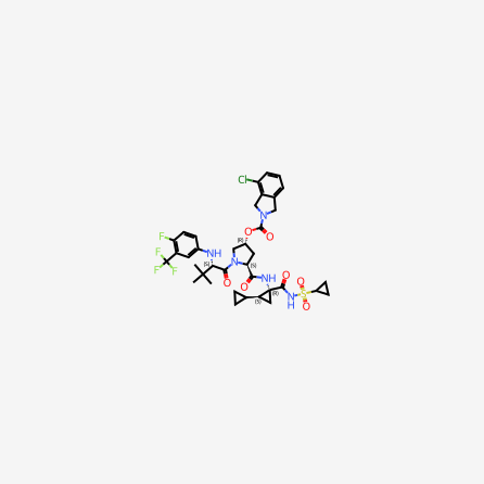 CC(C)(C)[C@H](Nc1ccc(F)c(C(F)(F)F)c1)C(=O)N1C[C@H](OC(=O)N2Cc3cccc(Cl)c3C2)C[C@H]1C(=O)N[C@]1(C(=O)NS(=O)(=O)C2CC2)C[C@H]1C1CC1